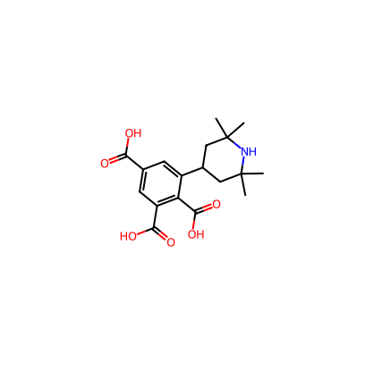 CC1(C)CC(c2cc(C(=O)O)cc(C(=O)O)c2C(=O)O)CC(C)(C)N1